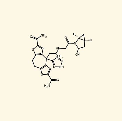 C[C@H](CC1(c2nn[nH]n2)c2cc(C(N)=O)sc2CCc2sc(C(N)=O)cc21)NCC(=O)N1C(C#N)C[C@@H]2C[C@@H]21